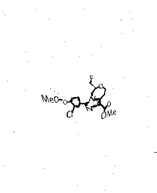 COCOc1ccc(-c2nc(C(=O)OC)c3n2C[C@@H](CF)OCC3)cc1Cl